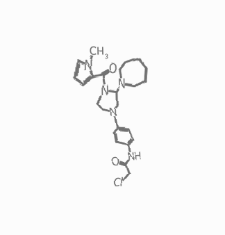 Cn1cccc1C(=O)N1CCN(c2ccc(NC(=O)CCl)cc2)CC1N1CCCCCC1